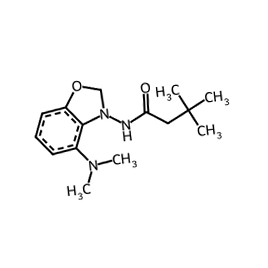 CN(C)c1cccc2c1N(NC(=O)CC(C)(C)C)CO2